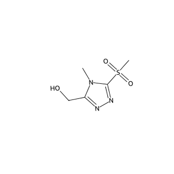 Cn1c(CO)nnc1S(C)(=O)=O